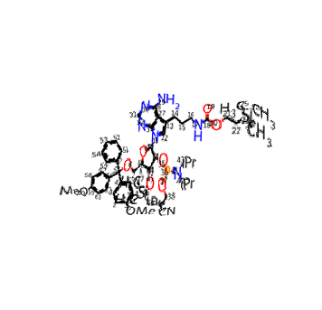 COc1ccc(C(OC[C@H]2O[C@@H](n3cc(CCCNC(=O)OCC[Si](C)(C)C)c4c(N)ncnc43)[C@H](OP(OCCC#N)N(C(C)C)C(C)C)[C@@H]2O[Si](C)(C)C(C)(C)C)(c2ccccc2)c2ccc(OC)cc2)cc1